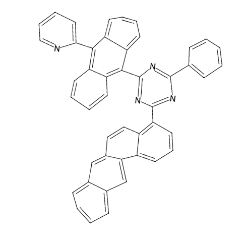 c1ccc(-c2nc(-c3c4ccccc4c(-c4ccccn4)c4ccccc34)nc(-c3cccc4c3ccc3cc5ccccc5cc34)n2)cc1